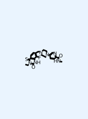 CCn1c(=O)[nH]c2c(F)c(CN3CCN(c4ccc(C(=O)NC)nc4)CC3)ccc2c1=S